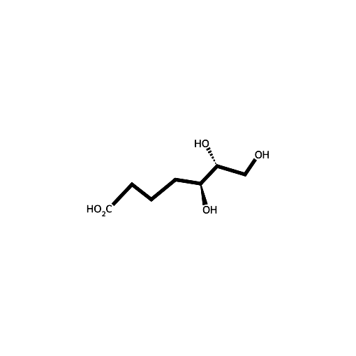 O=C(O)CCC[C@H](O)[C@H](O)CO